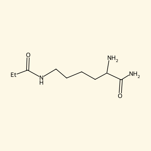 CCC(=O)NCCCCC(N)C(N)=O